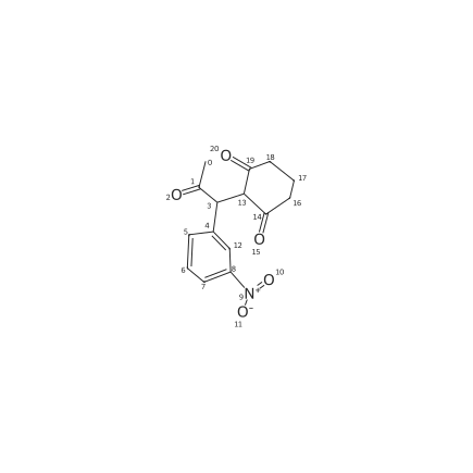 CC(=O)C(c1cccc([N+](=O)[O-])c1)C1C(=O)CCCC1=O